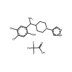 NC(c1cc(Cl)c(Cl)cc1O)C1CCN(c2cn[nH]c2)CC1.O=C(O)C(F)(F)F